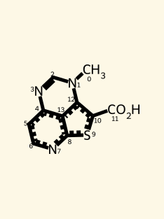 CN1C=Nc2ccnc3sc(C(=O)O)c1c23